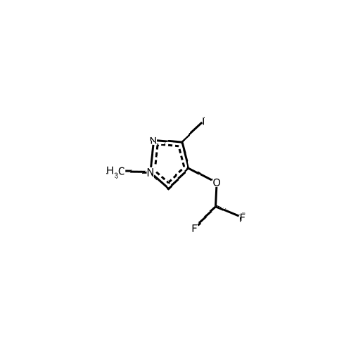 Cn1cc(OC(F)F)c(I)n1